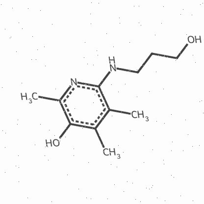 Cc1nc(NCCCO)c(C)c(C)c1O